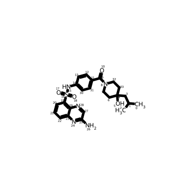 CC(C)CC1(O)CCN(C(=O)c2ccc(NS(=O)(=O)c3cccc4nc(N)cnc34)cc2)CC1